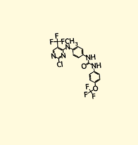 CN(c1ccc(NC(=O)Nc2ccc(OC(F)(F)F)cc2)cc1)c1nc(Cl)ncc1C(F)(F)F